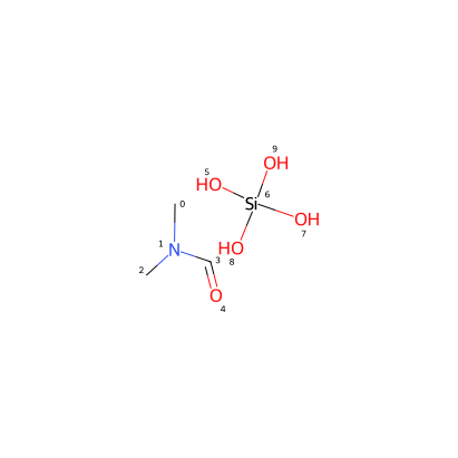 CN(C)C=O.O[Si](O)(O)O